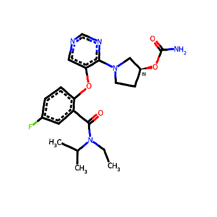 CCN(C(=O)c1cc(F)ccc1Oc1cncnc1N1CC[C@H](OC(N)=O)C1)C(C)C